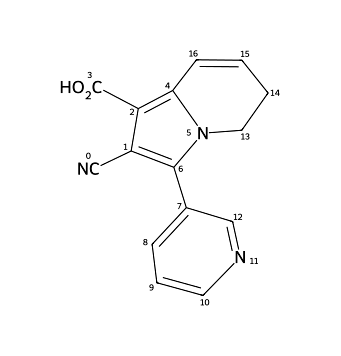 N#Cc1c(C(=O)O)c2n(c1-c1cccnc1)CCC=C2